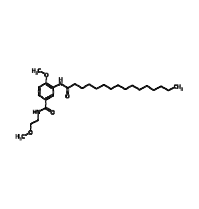 CCCCCCCCCCCCCCCC(=O)Nc1cc(C(=O)NCCOC)ccc1OC